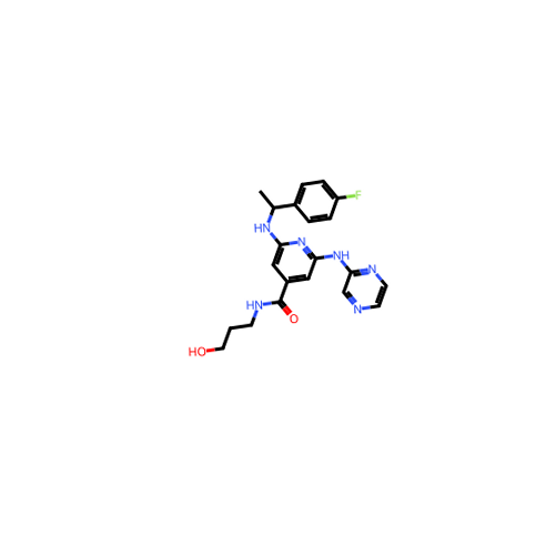 CC(Nc1cc(C(=O)NCCCO)cc(Nc2cnccn2)n1)c1ccc(F)cc1